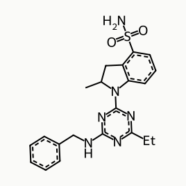 CCc1nc(NCc2ccccc2)nc(N2c3cccc(S(N)(=O)=O)c3CC2C)n1